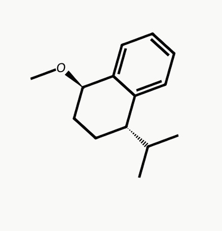 CO[C@@H]1CC[C@@H](C(C)C)c2ccccc21